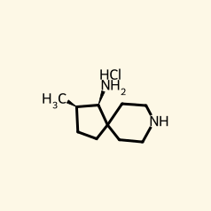 C[C@@H]1CCC2(CCNCC2)[C@@H]1N.Cl